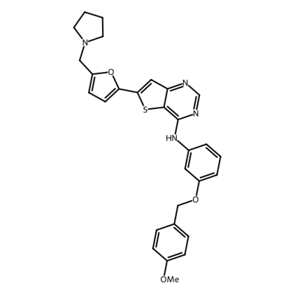 COc1ccc(COc2cccc(Nc3ncnc4cc(-c5ccc(CN6CCCC6)o5)sc34)c2)cc1